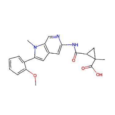 COc1ccccc1-c1cc2cc(NC(=O)C3CC3(C)C(=O)O)ncc2n1C